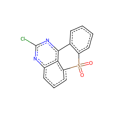 O=S1(=O)c2ccccc2-c2nc(Cl)nc3cccc1c23